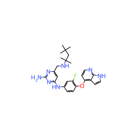 CC(C)(C)CC(C)(C)NCc1cc(Nc2ccc(Oc3ccnc4[nH]ccc34)c(F)c2)nc(N)n1